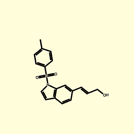 Cc1ccc(S(=O)(=O)n2ccc3ccc(C=CCO)cc32)cc1